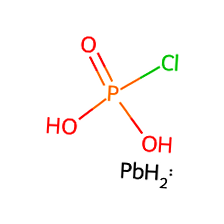 O=P(O)(O)Cl.[PbH2]